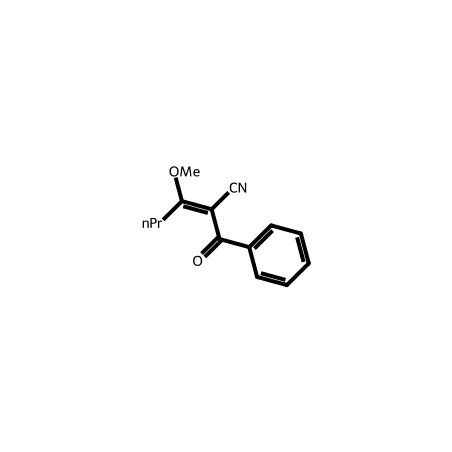 CCC/C(OC)=C(/C#N)C(=O)c1ccccc1